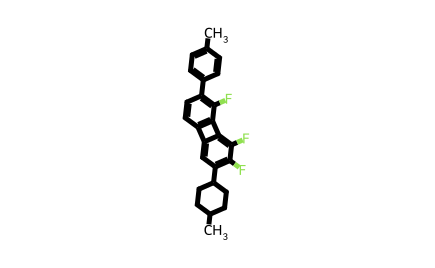 Cc1ccc(-c2ccc3c(c2F)-c2c-3cc(C3CCC(C)CC3)c(F)c2F)cc1